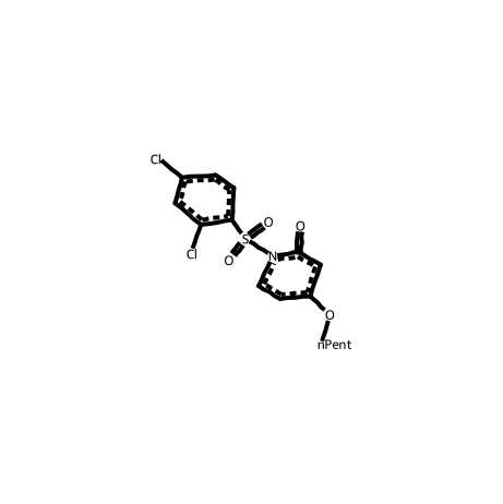 CCCCCOc1ccn(S(=O)(=O)c2ccc(Cl)cc2Cl)c(=O)c1